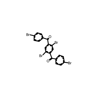 O=C(c1ccc(Br)cc1)c1cc(Br)c(C(=O)c2ccc(Br)cc2)cc1Br